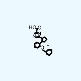 O=C(O)c1cncc(C2=C(c3ccccc3OCc3ccccc3F)CCC2)n1